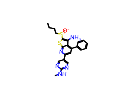 CCCC[S@@+]([O-])c1sc2nc(-c3cnc(NC)nc3)cc(-c3ccccc3)c2c1N